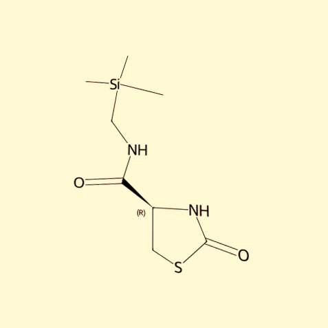 C[Si](C)(C)CNC(=O)[C@@H]1CSC(=O)N1